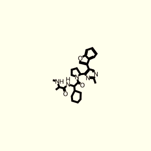 CNC(C)C(=O)NC(C(=O)N1CCCC1c1nc(C)ncc1-c1coc2ccccc12)C1CCCCC1